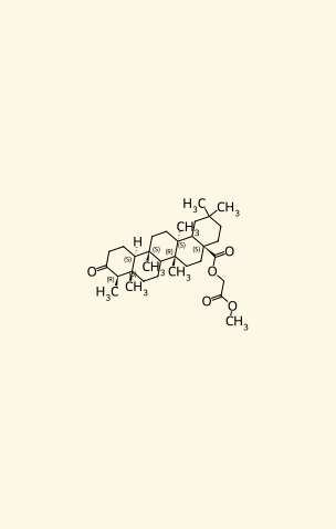 COC(=O)COC(=O)[C@]12CCC(C)(C)CC1[C@]1(C)CC[C@]3(C)C(CC[C@@]4(C)[C@H]3CCC(=O)[C@@H]4C)[C@@]1(C)CC2